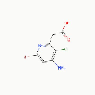 Nc1cc(Br)nc(CC(=O)O)c1Cl